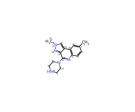 Cc1ccc2nc(N3CCNCC3)c3nn(C)cc3c2c1